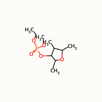 CCOP(=O)(OC)OC1C(C)OC(C)C1C